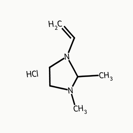 C=CN1CCN(C)C1C.Cl